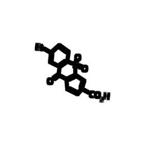 CCc1ccc2c(c1)C(=O)c1ccc(C(=O)O)cc1S2(=O)=O